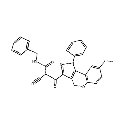 COc1ccc2c(c1)-c1c(c(C(=O)C(C#N)C(=O)NCc3ccccc3)nn1-c1ccccc1)CO2